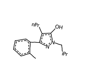 CCCc1c(-c2ccccc2C)nn(CC(C)C)c1O